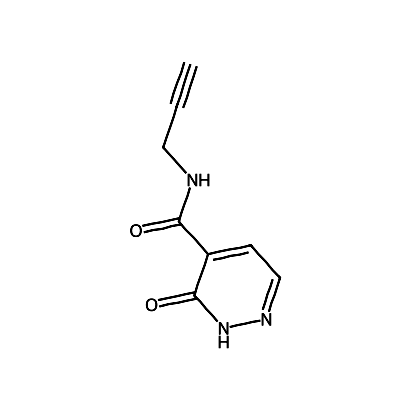 C#CCNC(=O)c1ccn[nH]c1=O